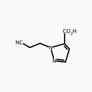 N#CCCn1nccc1C(=O)O